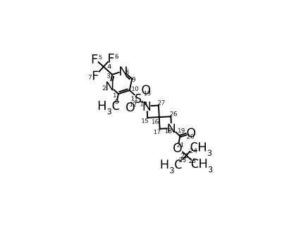 Cc1nc(C(F)(F)F)ncc1S(=O)(=O)N1CC2(CN(C(=O)OC(C)(C)C)C2)C1